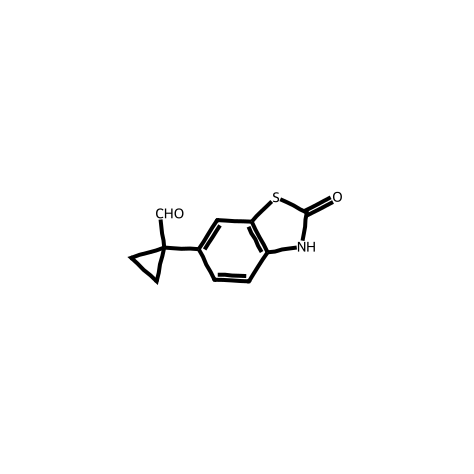 O=CC1(c2ccc3[nH]c(=O)sc3c2)CC1